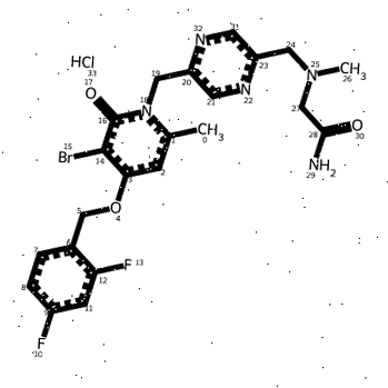 Cc1cc(OCc2ccc(F)cc2F)c(Br)c(=O)n1Cc1cnc(CN(C)CC(N)=O)cn1.Cl